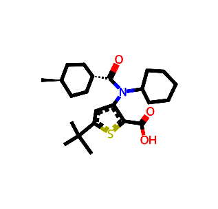 CC(C)(C)c1cc(N(C(=O)[C@H]2CC[C@H](C)CC2)C2CCCCC2)c(C(=O)O)s1